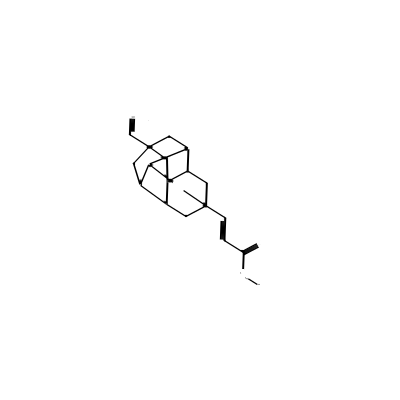 C=CC12CC3C4CC5(C=CC(=O)NCC)CC3C(C1)C(C5)C4C2